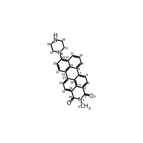 CN1C(=O)c2ccc3c4cccc5c(N6CCNCC6)ccc(c6ccc(c2c36)C1=O)c54